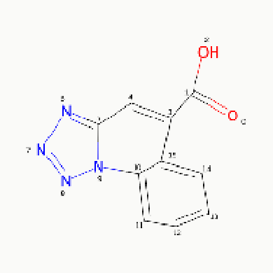 O=C(O)c1cc2nnnn2c2ccccc12